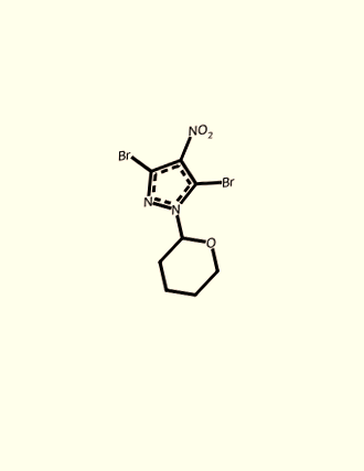 O=[N+]([O-])c1c(Br)nn(C2CCCCO2)c1Br